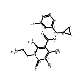 CCCn1c(C)c(C(=O)N[C@H](c2cccc(F)c2)C2CC2)c(C)c(Br)c1=O